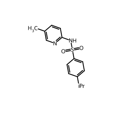 Cc1ccc(NS(=O)(=O)c2ccc(C(C)C)cc2)nc1